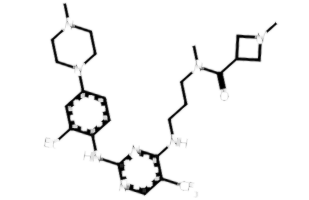 CCc1cc(N2CCN(C)CC2)ccc1Nc1ncc(C(F)(F)F)c(NCCCN(C)C(=O)C2CN(C)C2)n1